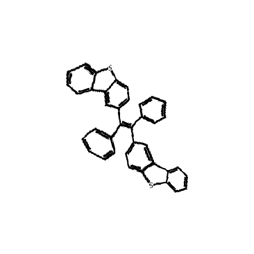 c1ccc(/C(=C(/c2ccccc2)c2ccc3sc4ccccc4c3c2)c2ccc3sc4ccccc4c3c2)cc1